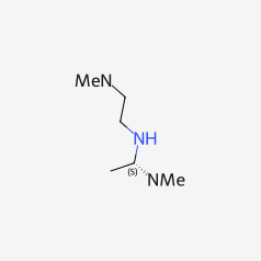 CNCCN[C@@H](C)NC